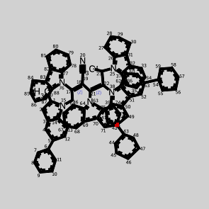 Cc1cc2cc(-c3ccccc3)ccc2n1C/C(=C(C#N)\C(=C(/C(C)n1c2ccccc2c2ccccc21)n1c2ccc(-c3ccccc3)cc2c2cc(-c3ccccc3)ccc21)n1c2ccccc2c2ccccc21)n1c2ccccc2c2ccccc21